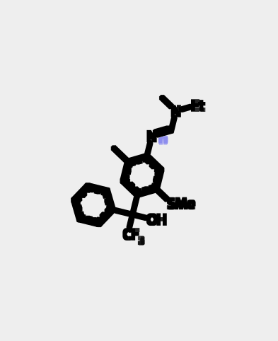 CCN(C)/C=N/c1cc(SC)c(C(O)(c2ccccc2)C(F)(F)F)cc1C